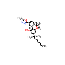 CCCCCCC(C)(C)c1cc(O)c2c(c1)OC(C)(C)[C@@H]1CC=C(c3nnc(C)o3)C[C@@H]21